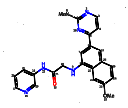 CNc1nccc(-c2cc(NCC(=O)Nc3cccnc3)c3cc(OC)ccc3c2)n1